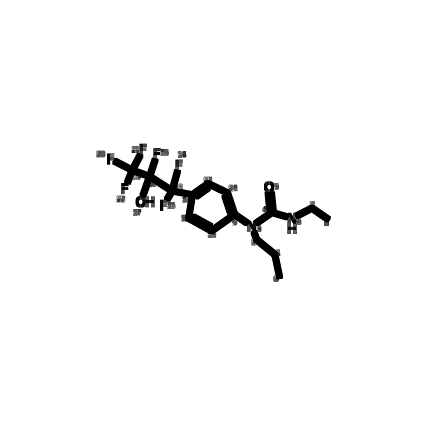 CCCN(C(=O)NCC)c1ccc(C(F)(F)C(O)(F)C(F)(F)F)cc1